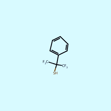 FC(F)(F)C(S)(c1ccccc1)C(F)(F)F